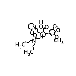 CCCCN(CCCC)C(=O)CN1CC(c2cc(OC)c3c(c2)OCO3)C(C(=O)O)C1CCN1CCCCC1=O